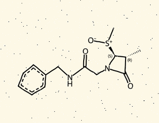 C[C@@H]1C(=O)N(CC(=O)NCc2ccccc2)[C@H]1[S+](C)[O-]